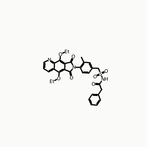 CCOc1c2c(c(OCC)c3ncccc13)C(=O)N(c1ccc(CS(=O)(=O)NC(=O)Cc3ccccc3)cc1C)C2=O